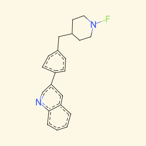 FN1CCC(Cc2ccc(-c3cnc4ccccc4c3)cc2)CC1